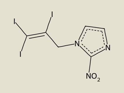 O=[N+]([O-])c1nccn1CC(I)=C(I)I